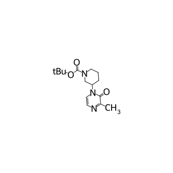 Cc1nccn(C2CCCN(C(=O)OC(C)(C)C)C2)c1=O